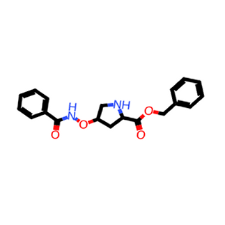 O=C(NOC1CNC(C(=O)OCc2ccccc2)C1)c1ccccc1